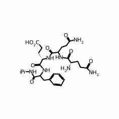 CC(C)NC(=O)C(Cc1ccccc1)NC(=O)[C@H](CCC(=O)O)NC(=O)C(CCC(N)=O)NC(=O)[C@@H](N)CCC(N)=O